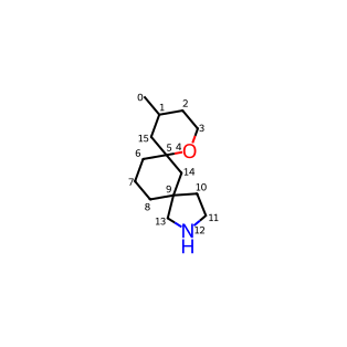 CC1CCOC2(CCCC3(CCNC3)C2)C1